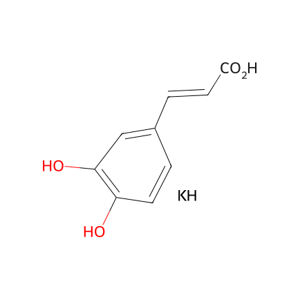 O=C(O)C=Cc1ccc(O)c(O)c1.[KH]